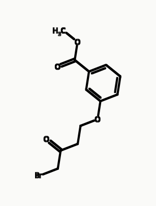 COC(=O)c1cccc(OCCC(=O)CBr)c1